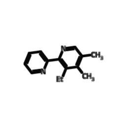 CCc1c(-c2ccccn2)ncc(C)c1C